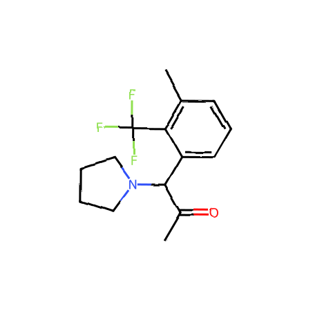 CC(=O)C(c1cccc(C)c1C(F)(F)F)N1CCCC1